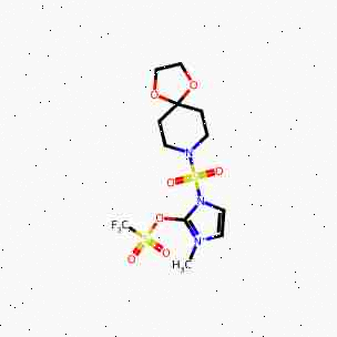 C[n+]1ccn(S(=O)(=O)N2CCC3(CC2)OCCO3)c1OS(=O)(=O)C(F)(F)F